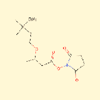 COC(C)(C)CCOC(C)CC(=O)ON1C(=O)CCC1=O